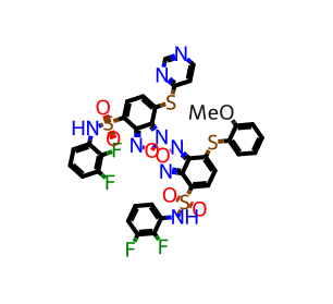 COc1ccccc1Sc1ccc(S(=O)(=O)Nc2cccc(F)c2F)c2nonc12.O=S(=O)(Nc1cccc(F)c1F)c1ccc(Sc2ccncn2)c2nonc12